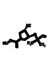 [C-]#[N+][C@H]1CN(C(=O)OC(C)(C)C)C[C@@H]1O[Si](C)(C)C(C)(C)C